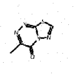 Cc1nnc2s[c]nn2c1=O